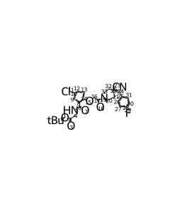 CC(C)(C)OC(=O)CNC(=O)c1cc(Cl)ccc1OCC(=O)N1CCC(C#N)(Cc2ccc(F)cc2)CC1